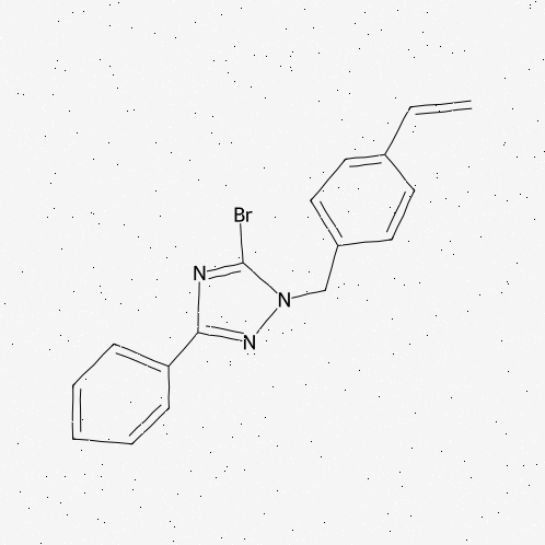 C=Cc1ccc(Cn2nc(-c3ccccc3)nc2Br)cc1